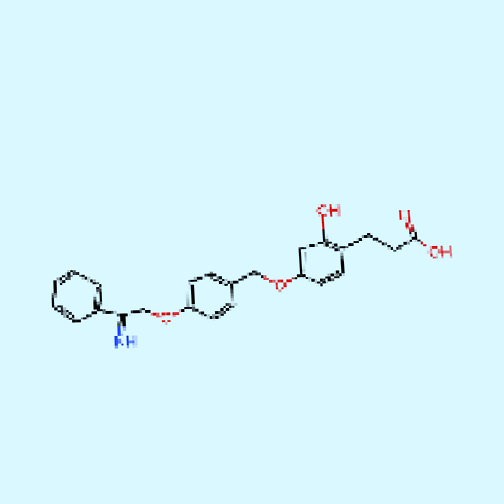 N=C(COc1ccc(COc2ccc(CCC(=O)O)c(O)c2)cc1)c1ccccc1